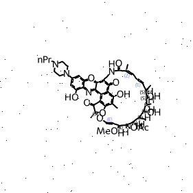 CCCN1CCN(c2cc(O)c3nc4c5c6c7c(C)c(O)c5c(=O)c(c-4oc3c2)NC(=O)/C(C)=C\C=C\[C@H](C)[C@H](O)[C@@H](C)[C@@H](O)[C@@H](C)[C@H](OC(C)=O)[C@H](C)[C@@H](OC)/C=C/O[C@@](C)(O7)C6=O)CC1